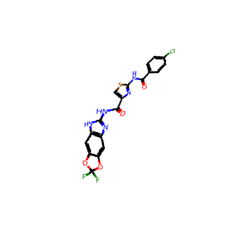 O=C(Nc1nc(C(=O)Nc2nc3cc4c(cc3[nH]2)OC(F)(F)O4)cs1)c1ccc(Cl)cc1